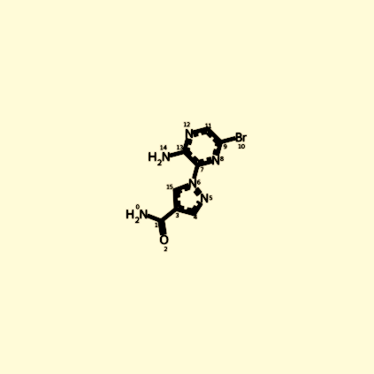 NC(=O)c1cnn(-c2nc(Br)cnc2N)c1